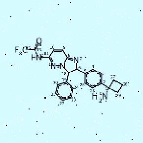 NC1(c2ccc(C3N=C4C=CC(NC(=O)C(F)(F)F)=NN4C3c3ccccc3)cc2)CCC1